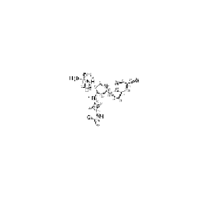 BC(B)(B)NC(=O)c1cnc(-c2ccc3cc(C#N)cnn23)cc1NC12CC(NC(C)=O)(C1)C2